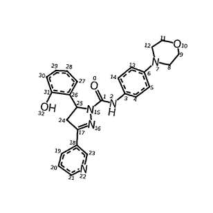 O=C(Nc1ccc(N2CCOCC2)cc1)N1N=C(c2cccnc2)CC1c1ccccc1O